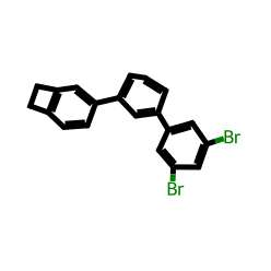 Brc1cc(Br)cc(-c2cccc(-c3ccc4c(c3)CC4)c2)c1